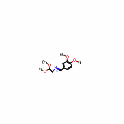 CCOc1ccc(/C=N/CC(OCC)OCC)cc1OCC